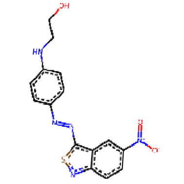 O=[N+]([O-])c1ccc2nsc(N=Nc3ccc(NCCO)cc3)c2c1